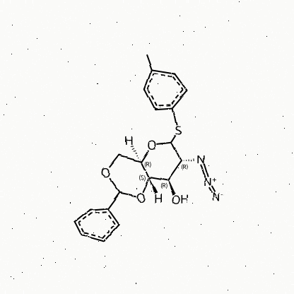 Cc1ccc(SC2O[C@@H]3COC(c4ccccc4)O[C@H]3[C@H](O)[C@H]2N=[N+]=[N-])cc1